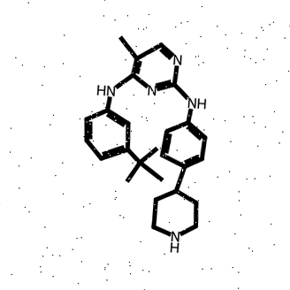 Cc1cnc(Nc2ccc(C3CCNCC3)cc2)nc1Nc1cccc(C(C)(C)C)c1